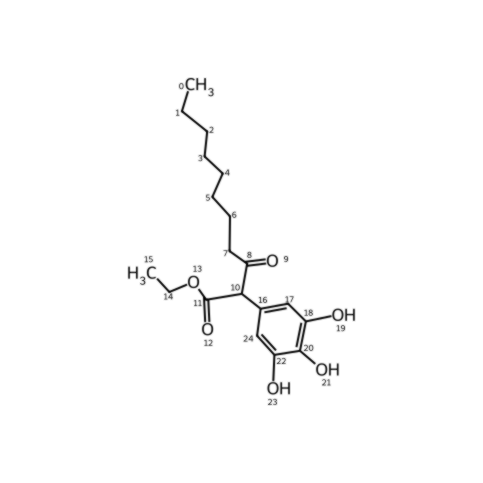 CCCCCCCCC(=O)C(C(=O)OCC)c1cc(O)c(O)c(O)c1